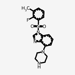 Cc1cccc(S(=O)(=O)n2cnc3c(N4CCNCC4)cccc32)c1F